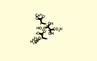 CCC(=O)[O-].CCC(=O)[O-].O.O.O.O=C(O)C(O)C(O)C(=O)O.[Ca+2]